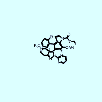 CCc1cccc(CC)c1-c1c(-c2c3c(nn2-c2ncccn2)CCN(C(F)(F)F)C3)c(F)c(OC)c2c1ccn2C(=O)OCI